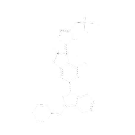 CC(C)(Cc1csc([C@]2(C)C(=O)Nc3nc(-c4nn(CC5CCCCO5)c5ccccc45)nc(N)c32)n1)C(=O)O